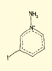 N[n+]1cccc(I)c1